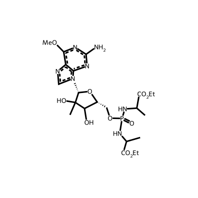 CCOC(=O)C(C)NP(=O)(NC(C)C(=O)OCC)OC[C@H]1O[C@@H](n2cnc3c(OC)nc(N)nc32)C(C)(O)C1O